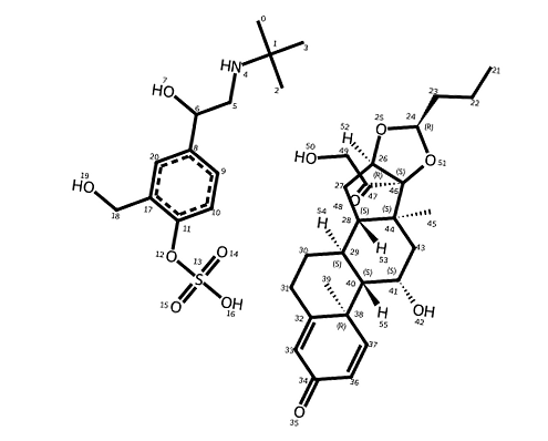 CC(C)(C)NCC(O)c1ccc(OS(=O)(=O)O)c(CO)c1.CCC[C@@H]1O[C@@H]2C[C@H]3[C@@H]4CCC5=CC(=O)C=C[C@]5(C)[C@H]4[C@@H](O)C[C@]3(C)[C@]2(C(=O)CO)O1